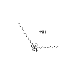 CCCCCCCCCCCCCCOS(=O)(=O)C(F)CCCCCCCCCCC.CNC